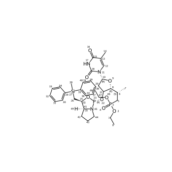 CCOP(=O)(C[C@@H](C)[C@H]1O[C@@H](n2cc(C)c(=O)[nH]c2=O)CC1O[P@@]1O[C@H](C[Si](C)(c2ccccc2)c2ccccc2)[C@@H]2CCCN21)OCC